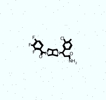 Cc1ccc(C(CC(N)=O)N2CC3CN(C(=O)c4ccc(F)c(F)c4F)CC3C2)cc1Cl